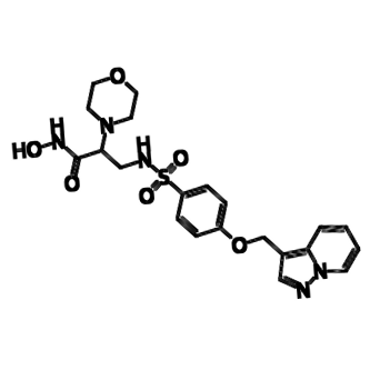 O=C(NO)C(CNS(=O)(=O)c1ccc(OCc2cnn3ccccc23)cc1)N1CCOCC1